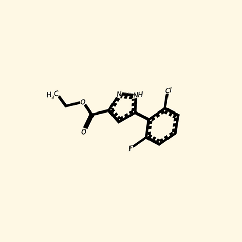 CCOC(=O)c1cc(-c2c(F)cccc2Cl)[nH]n1